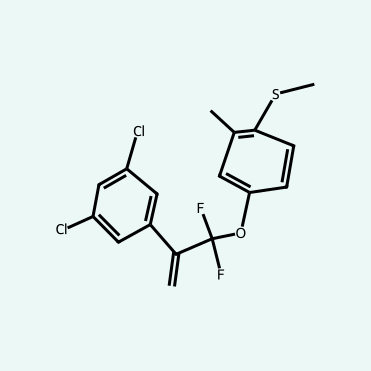 C=C(c1cc(Cl)cc(Cl)c1)C(F)(F)Oc1ccc(SC)c(C)c1